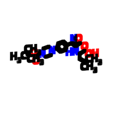 CC(C)CC(Nc1conc1-c1ccc(N2CCN(C(=O)OC(C)(C)C)CC2)cc1)C(=O)O